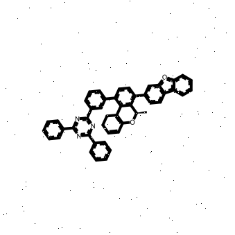 C[C@H]1OC2=C(CCC=C2)c2c(-c3cccc(-c4nc(-c5ccccc5)nc(-c5ccccc5)n4)c3)ccc(-c3ccc4c(c3)oc3ccccc34)c21